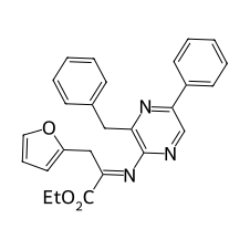 CCOC(=O)C(Cc1ccco1)=Nc1ncc(-c2ccccc2)nc1Cc1ccccc1